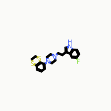 Fc1ccc2[nH]cc(CCN3CCN(c4cccc5c4SCCS5)CC3)c2c1